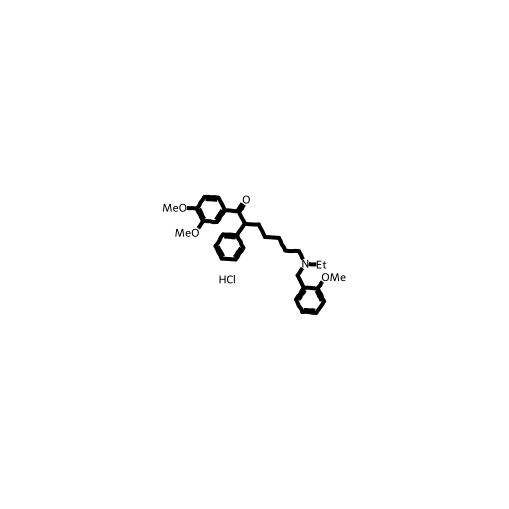 CCN(CCCCCC(C(=O)c1ccc(OC)c(OC)c1)c1ccccc1)Cc1ccccc1OC.Cl